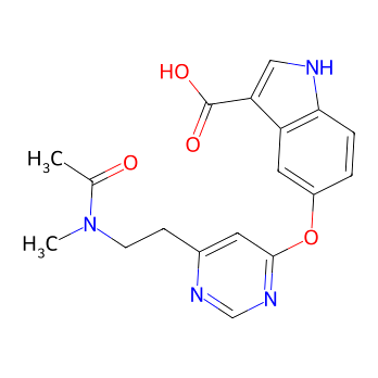 CC(=O)N(C)CCc1cc(Oc2ccc3[nH]cc(C(=O)O)c3c2)ncn1